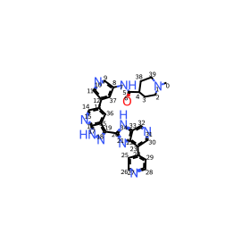 CN1CCC(C(=O)Nc2cncc(-c3cnc4[nH]nc(-c5nc6c(-c7ccncc7)cncc6[nH]5)c4c3)c2)CC1